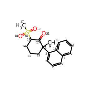 CC1(c2cccc3ccccc23)CCCC(S(C)(=O)=O)C1=O